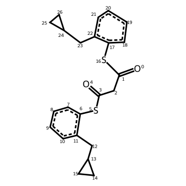 O=C(CC(=O)Sc1ccccc1CC1CC1)Sc1ccccc1CC1CC1